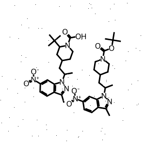 Cc1nn(C(C)CC2CCN(C(=O)O)C(C(C)(C)C)C2)c2cc([N+](=O)[O-])ccc12.Cc1nn(C(C)CC2CCN(C(=O)OC(C)(C)C)CC2)c2cc([N+](=O)[O-])ccc12